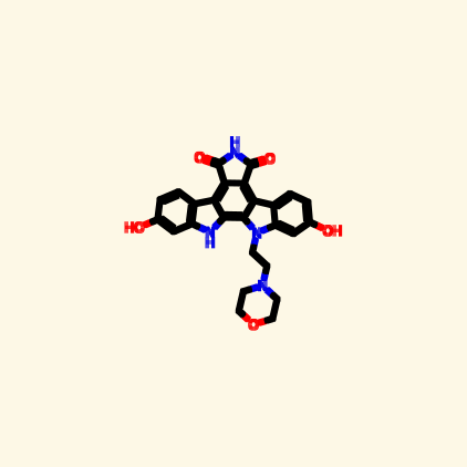 O=C1NC(=O)c2c1c1c3ccc(O)cc3[nH]c1c1c2c2ccc(O)cc2n1CCN1CCOCC1